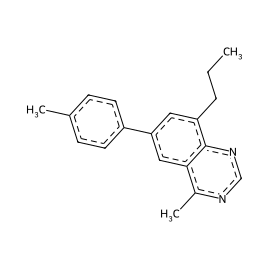 CCCc1cc(-c2ccc(C)cc2)cc2c(C)ncnc12